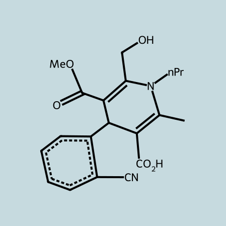 CCCN1C(C)=C(C(=O)O)C(c2ccccc2C#N)C(C(=O)OC)=C1CO